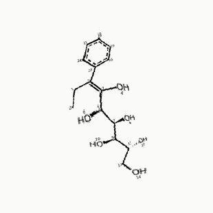 CCC(=C(O)[C@H](O)[C@@H](O)[C@H](O)[C@H](O)CO)c1ccccc1